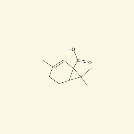 CC1=CC2(C(=O)O)C(CC1)C2(C)C